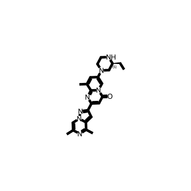 CC[C@H]1CN(c2cc(C)c3nc(-c4cc5c(C)nc(C)cn5n4)cc(=O)n3c2)CCN1